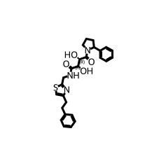 O=C(NCc1nc(CCc2ccccc2)cs1)[C@H](O)[C@@H](O)C(=O)N1CCCC1c1ccccc1